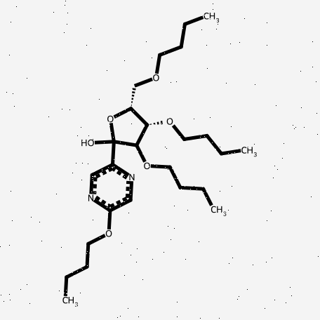 CCCCOC[C@H]1OC(O)(c2cnc(OCCCC)cn2)C(OCCCC)[C@H]1OCCCC